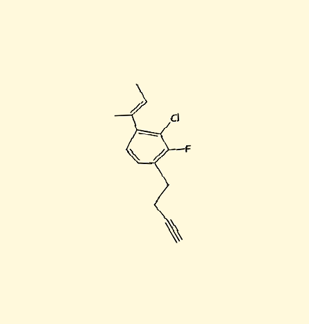 C#CCCc1ccc(/C(C)=C/C)c(Cl)c1F